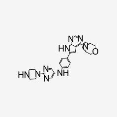 c1nc(N2C3CCC2COC3)c2cc(-c3ccc(Nc4cnc(N5CCNCC5)nc4)cc3)[nH]c2n1